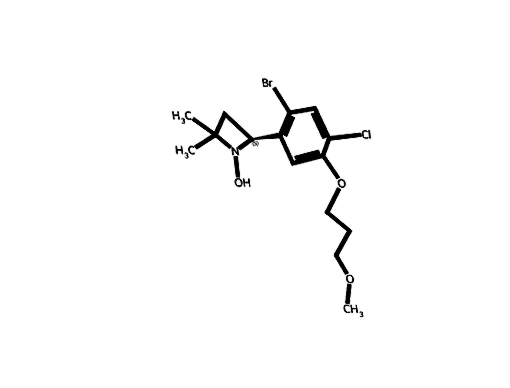 COCCCOc1cc([C@@H]2CC(C)(C)N2O)c(Br)cc1Cl